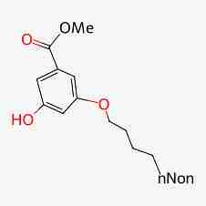 CCCCCCCCCCCCCOc1cc(O)cc(C(=O)OC)c1